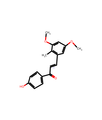 COc1cc(/C=C/C(=O)c2ccc(O)cc2)c(C)c(OC)c1